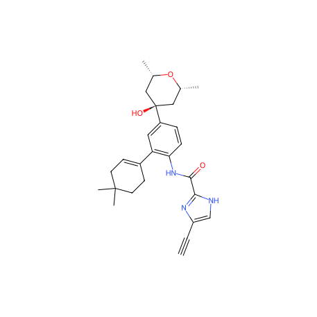 C#Cc1c[nH]c(C(=O)Nc2ccc([C@@]3(O)C[C@@H](C)O[C@@H](C)C3)cc2C2=CCC(C)(C)CC2)n1